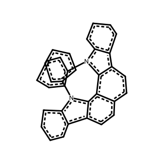 c1ccc(-n2c3ccccc3c3ccc4ccc5c6ccccc6n(-c6ccccc6)c5c4c32)cc1